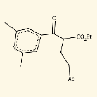 CCOC(=O)C(CCC(C)=O)C(=O)c1cc(C)nc(C)c1